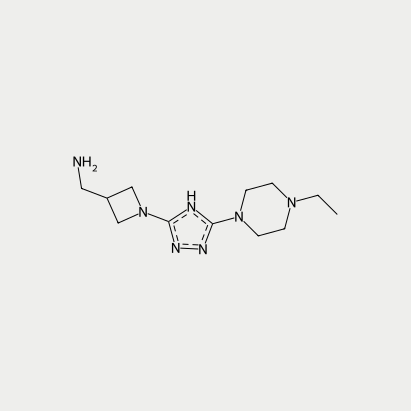 CCN1CCN(c2nnc(N3CC(CN)C3)[nH]2)CC1